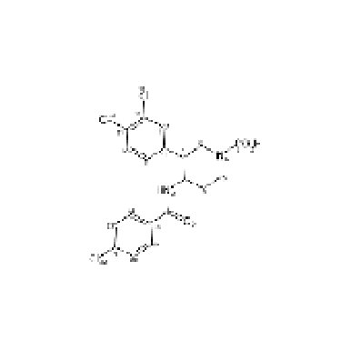 O=C(NC1CCN(C(=O)O)CC1c1ccc(Cl)c(Cl)c1)c1ccc(Cl)cc1